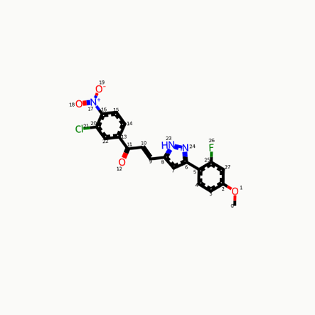 COc1ccc(-c2cc(/C=C/C(=O)c3ccc([N+](=O)[O-])c(Cl)c3)[nH]n2)c(F)c1